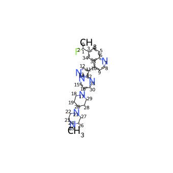 CC(F)c1ccc2nccc(-c3cnn4cc(N5CCC(N6CCN(C)CC6)CC5)cnc34)c2c1